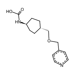 O=C(O)N[C@H]1CC[C@H](COCc2ccncc2)CC1